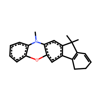 CN1c2ccccc2Oc2cc3c(cc21)C(C)(C)C1=C3CCC=C1